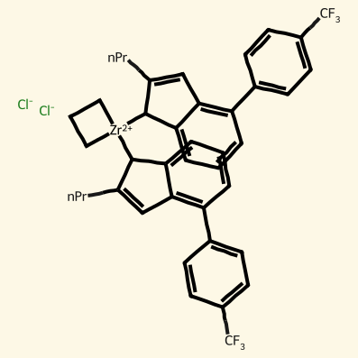 CCCC1=Cc2c(-c3ccc(C(F)(F)F)cc3)cccc2[CH]1[Zr+2]1([CH]2C(CCC)=Cc3c(-c4ccc(C(F)(F)F)cc4)cccc32)[CH2]C[CH2]1.[Cl-].[Cl-]